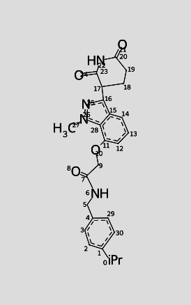 CC(C)c1ccc(CNC(=O)COc2cccc3c(C4CCC(=O)NC4=O)nn(C)c23)cc1